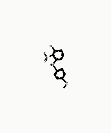 COc1ccc(Nc2cccc(Br)c2[N+](=O)[O-])cc1